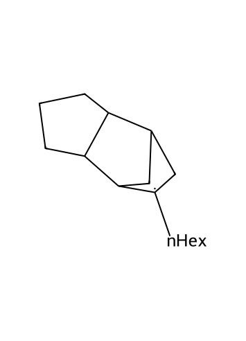 CCCCCC[C]1CC2CC1C1CCCC21